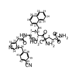 CC[C@H](C)[C@@H](CN(CC(=O)[C@@](N)(CCS(N)(=O)=O)C(=O)O)Cc1cccc2ccccc12)NC(=O)Cc1cncn1Cc1ccc(C#N)cc1